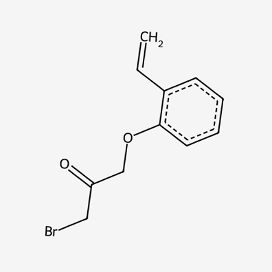 C=Cc1ccccc1OCC(=O)CBr